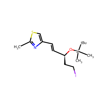 Cc1nc(C=C[C@H](CCI)O[Si](C)(C)C(C)(C)C)cs1